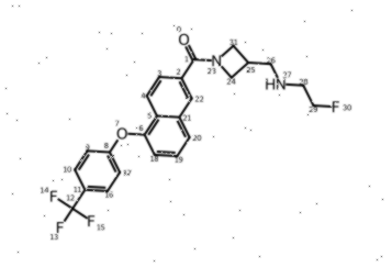 O=C(c1ccc2c(Oc3ccc(C(F)(F)F)cc3)cccc2c1)N1CC(CNCCF)C1